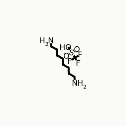 NCCCCCCCCN.O=S(=O)(O)C(F)(F)F